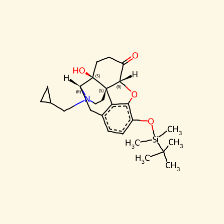 CC(C)(C)[Si](C)(C)Oc1ccc2c3c1O[C@H]1C(=O)CC[C@@]4(O)[C@@H](C2)N(CC2CC2)CC[C@]314